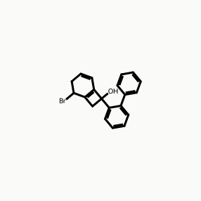 OC1(c2ccccc2-c2ccccc2)CC2=C1C=CCC2Br